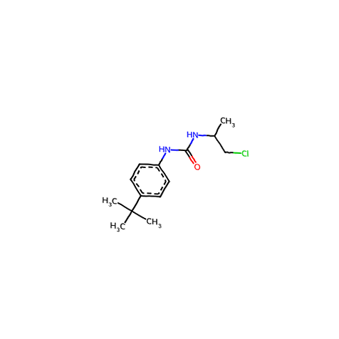 CC(CCl)NC(=O)Nc1ccc(C(C)(C)C)cc1